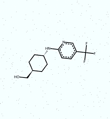 OC[C@H]1CC[C@H](Nc2ccc(C(F)(F)F)cn2)CC1